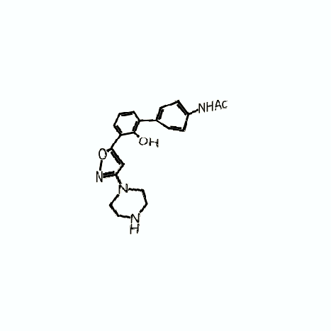 CC(=O)Nc1ccc(-c2cccc(-c3cc(N4CCNCC4)no3)c2O)cc1